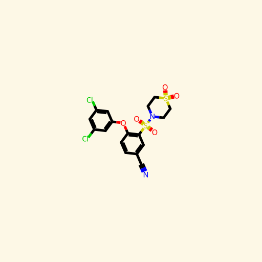 N#Cc1ccc(Oc2cc(Cl)cc(Cl)c2)c(S(=O)(=O)N2CCS(=O)(=O)CC2)c1